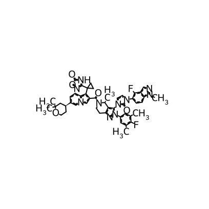 Cc1cc(-n2nc3c(c2-n2ccn(-c4ccc5c(cnn5C)c4F)c2=O)[C@H](C)N(C(=O)c2cn4cc([C@H]5CCOC(C)(C)C5)ccc4c2C2(c4noc(=O)[nH]4)CC2)CC3)cc(C)c1F